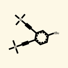 CC(C)(C)c1ccc(C#C[Si](C)(C)C)c(C#C[Si](C)(C)C)c1